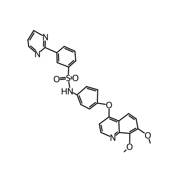 COc1ccc2c(Oc3ccc(NS(=O)(=O)c4cccc(-c5ncccn5)c4)cc3)ccnc2c1OC